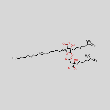 CC(C)CCCCCC(O)(CC(=O)[O-])C(=O)[O-].CC(C)CCCCCC(O)(CC(=O)[O-])C(=O)[O-].CCCCCCC[CH2][Sn+4][CH2]CCCCCCC